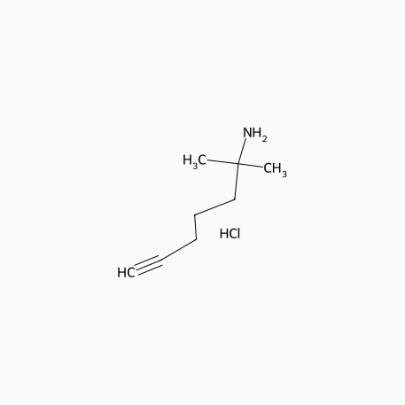 C#CCCCC(C)(C)N.Cl